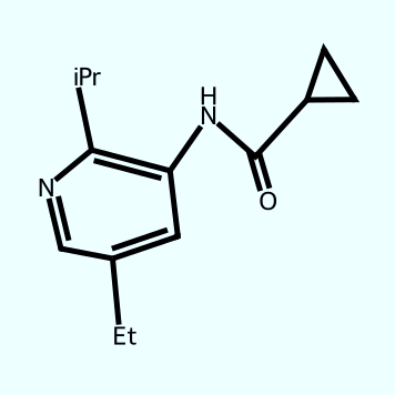 CCc1cnc(C(C)C)c(NC(=O)C2CC2)c1